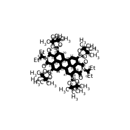 CCC(CC)N1C(=O)c2c(B3OC(C)(C)C(C)(C)O3)cc3c4cc(B5OC(C)(C)C(C)(C)O5)c5c6c(c(B7OC(C)(C)C(C)(C)O7)cc(c7cc(B8OC(C)(C)C(C)(C)O8)c(c2c37)C1=O)c64)C(=O)N(C(CC)CC)C5=O